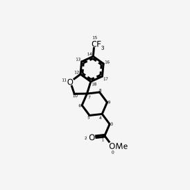 COC(=O)CC1CCC2(CC1)COc1cc(C(F)(F)F)ccc12